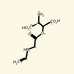 C=CNCC(=O)OC(C(=O)O)[C@H](N)C(=O)O